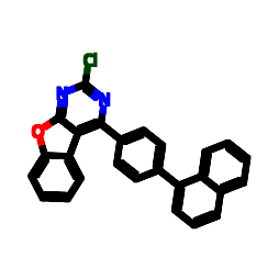 Clc1nc(-c2ccc(-c3cccc4ccccc34)cc2)c2c(n1)oc1ccccc12